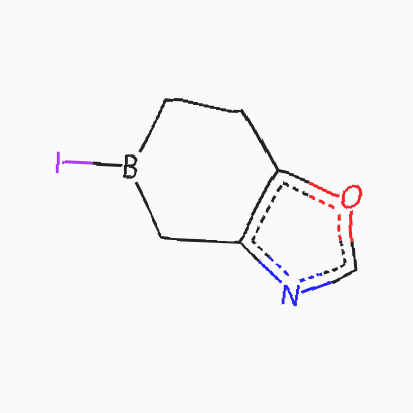 IB1CCc2ocnc2C1